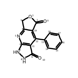 O=C1OCc2nc3[nH][nH]c(=O)c3c(-c3ccccc3)c21